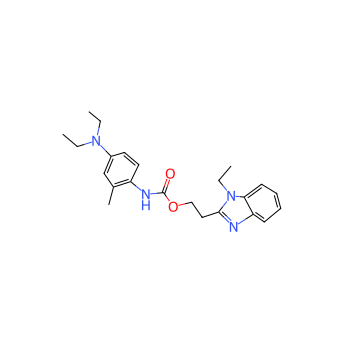 CCN(CC)c1ccc(NC(=O)OCCc2nc3ccccc3n2CC)c(C)c1